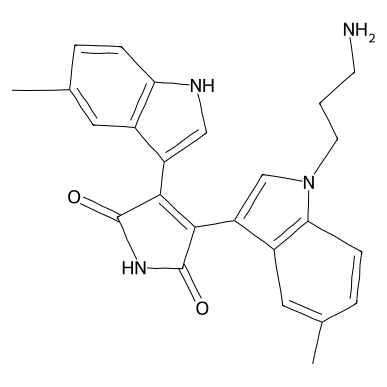 Cc1ccc2[nH]cc(C3=C(c4cn(CCCN)c5ccc(C)cc45)C(=O)NC3=O)c2c1